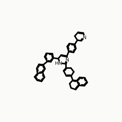 C1=CN=CC(c2ccc(C3=CC(c4cccc(-c5ccc6ccccc6c5)c4)NC(C4=CC=C(C5=c6ccccc6=CCC5)CC4)=N3)cc2)C1